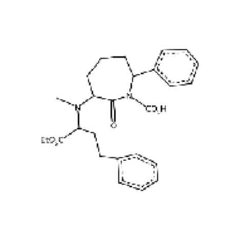 CCOC(=O)C(CCc1ccccc1)N(C)C1CCCC(c2ccccc2)N(C(=O)O)C1=O